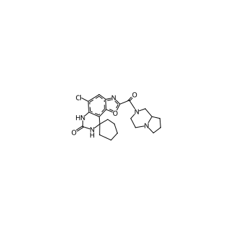 O=C1Nc2c(Cl)cc3nc(C(=O)N4CCN5CCCC5C4)oc3c2C2(CCCCC2)N1